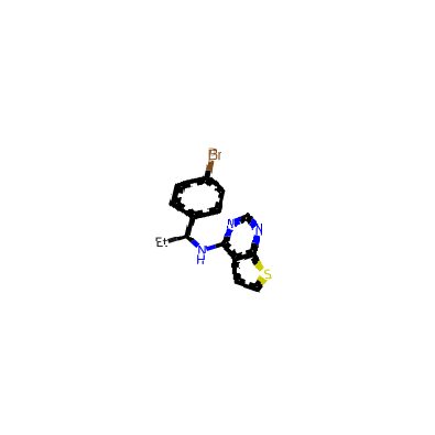 CCC(Nc1ncnc2sccc12)c1ccc(Br)cc1